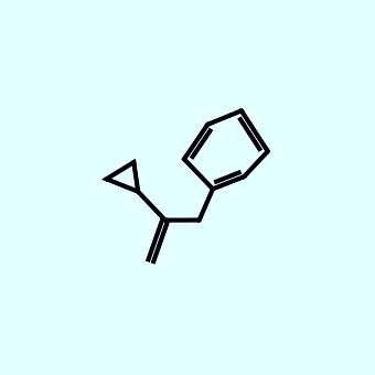 C=C(Cc1ccccc1)C1CC1